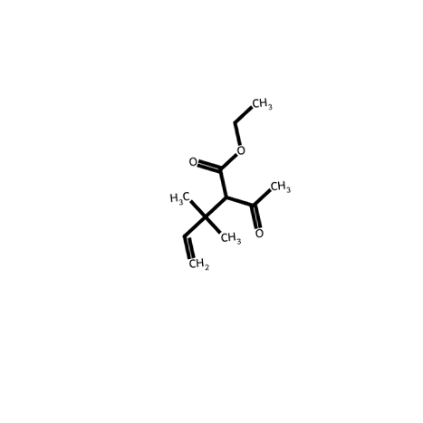 C=CC(C)(C)C(C(C)=O)C(=O)OCC